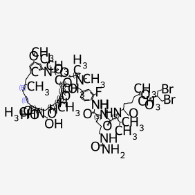 COc1cc2cc(c1Cl)N(C)C(=O)C[C@H](OC(=O)[C@H](C)N(C)C(=O)c1ccc(NC(=O)[C@H](CCCNC(N)=O)NC(=O)[C@@H](NC(C=O)CCCC(C)(C)OC(=O)C(CBr)CBr)C(C)C)c(F)c1)[C@]1(C)O[C@H]1[C@H](C)[C@@H]1C[C@@](O)(NC(O)O1)[C@H](OC)/C=C/C=C(\C)C2